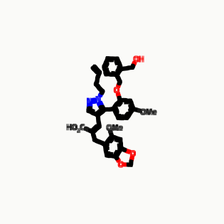 C=CCCn1ncc(C=C(Cc2cc3c(cc2OC)OCO3)C(=O)O)c1-c1ccc(OC)cc1OCc1ccccc1CO